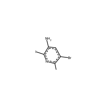 Cc1nc(I)c(N)cc1Br